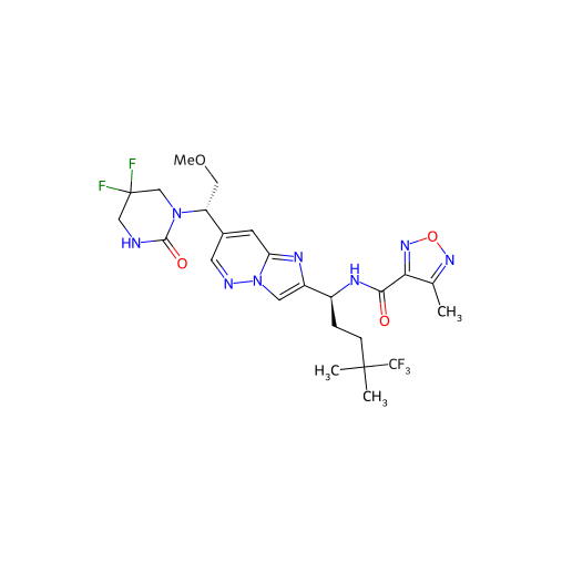 COC[C@H](c1cnn2cc([C@H](CCC(C)(C)C(F)(F)F)NC(=O)c3nonc3C)nc2c1)N1CC(F)(F)CNC1=O